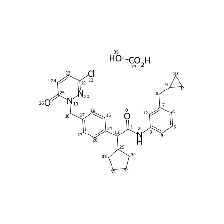 O=C(Nc1cccc(CC2CC2)c1)C(c1ccc(Cn2nc(Cl)ccc2=O)cc1)C1CCCC1.O=C(O)O